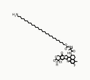 CC[C@@]1(O)C(=O)OCc2c1cc1n(c2=O)Cc2c-1nc1cc(F)c(C)c3c1c2[C@@H](NC(=O)C(C)(C)NC(=O)OCCCCCCCCCCCCCCCCCCCCCCCCCCCN)CC3